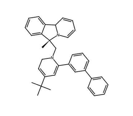 CC(C)(C)C1=CCN(C[C@]2(C)c3ccccc3C3C=CC=CN32)C(c2cccc(-c3ccccc3)c2)=C1